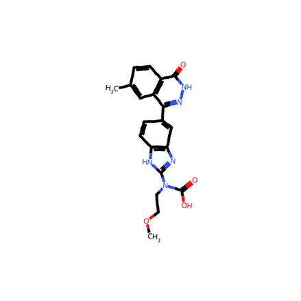 COCCN(C(=O)O)c1nc2cc(-c3n[nH]c(=O)c4ccc(C)cc34)ccc2[nH]1